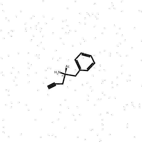 C#CC[C@](N)(Cc1ccccc1)C(C)=O